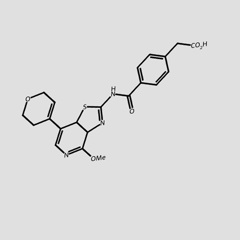 COC1=NC=C(C2=CCOCC2)C2SC(NC(=O)c3ccc(CC(=O)O)cc3)=NC12